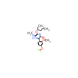 CCCC(CC)Oc1nc(Br)c(-c2ccc(OC(F)F)cc2OC)nc1NC